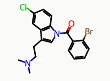 CN(C)CCc1cn(C(=O)c2ccccc2Br)c2ccc(Cl)cc12